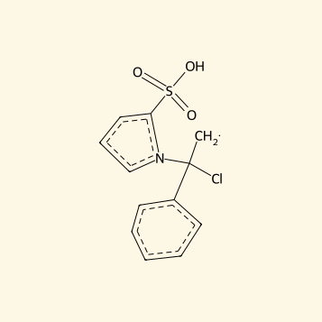 [CH2]C(Cl)(c1ccccc1)n1cccc1S(=O)(=O)O